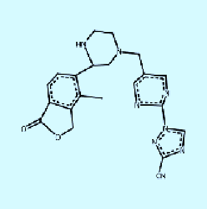 Cc1c(C2CN(Cc3cnc(-n4cnc(C#N)n4)nc3)CCN2)ccc2c1COC2=O